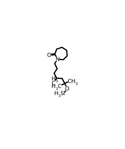 CC(CCCN1CCCCCC1=O)CC(C)(C)O[SiH3]